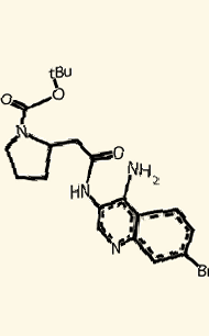 CC(C)(C)OC(=O)N1CCCC1CC(=O)Nc1cnc2cc(Br)ccc2c1N